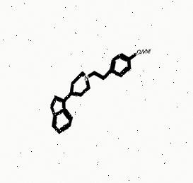 COc1ccc(CCN2CCC(C3CCc4ccccc43)CC2)cc1